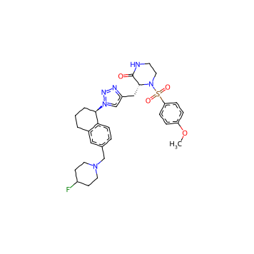 COc1ccc(S(=O)(=O)N2CCNC(=O)[C@H]2Cc2cn([C@@H]3CCCc4cc(CN5CCC(F)CC5)ccc43)nn2)cc1